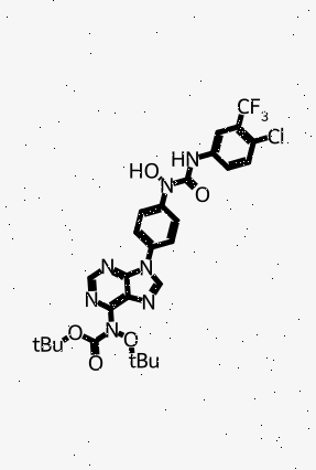 CC(C)(C)OC(=O)N(OC(C)(C)C)c1ncnc2c1ncn2-c1ccc(N(O)C(=O)Nc2ccc(Cl)c(C(F)(F)F)c2)cc1